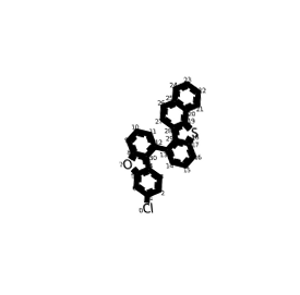 Clc1ccc2c(c1)oc1cccc(-c3cccc4sc5c6ccccc6ccc5c34)c12